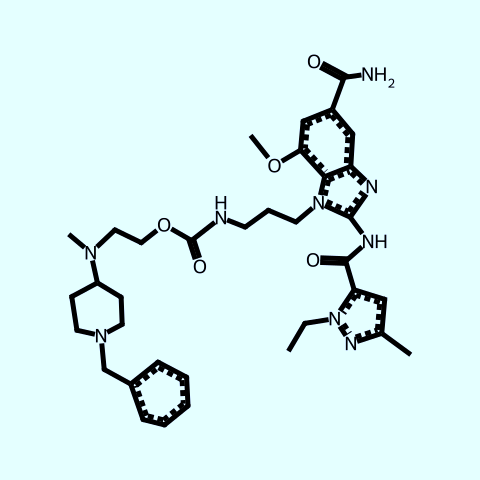 CCn1nc(C)cc1C(=O)Nc1nc2cc(C(N)=O)cc(OC)c2n1CCCNC(=O)OCCN(C)C1CCN(Cc2ccccc2)CC1